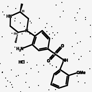 COc1ccccc1NS(=O)(=O)c1ccc(N2C[C@H](C)NC[C@H]2C)c(N)c1.Cl